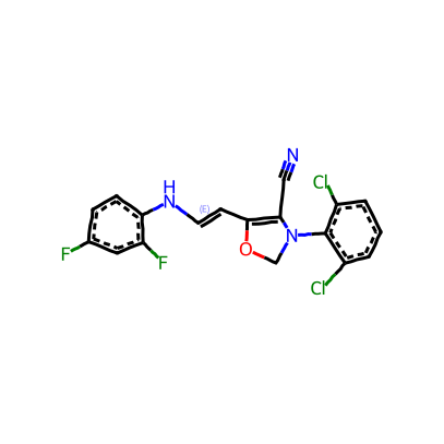 N#CC1=C(/C=C/Nc2ccc(F)cc2F)OCN1c1c(Cl)cccc1Cl